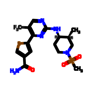 C[C@@H]1CN(S(C)(=O)=O)CC[C@@H]1Nc1ncc(C(F)(F)F)c(-c2cc(C(N)=O)cs2)n1